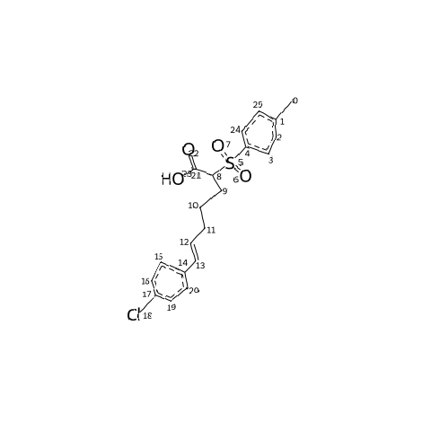 Cc1ccc(S(=O)(=O)C(CCCC=Cc2ccc(Cl)cc2)C(=O)O)cc1